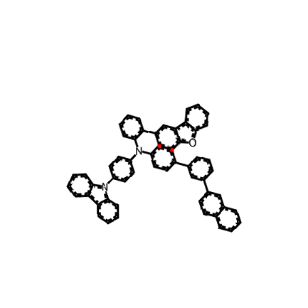 c1cc(-c2ccc(N(c3ccc(-n4c5ccccc5c5ccccc54)cc3)c3ccccc3-c3ccc4oc5ccccc5c4c3)cc2)cc(-c2ccc3ccccc3c2)c1